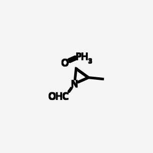 CC1CN1C=O.O=[PH3]